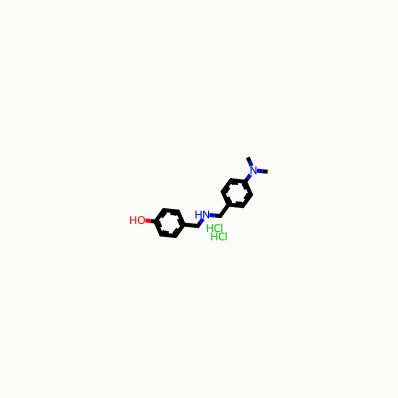 CN(C)c1ccc(CNCc2ccc(O)cc2)cc1.Cl.Cl